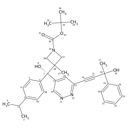 CC(C)c1ccc([C@](O)(c2cnnc(C#CC(C)(O)c3ccccc3)c2)C2(C)CN(C(=O)OC(C)(C)C)C2)cc1